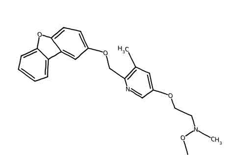 CON(C)CCOc1cnc(COc2ccc3oc4ccccc4c3c2)c(C)c1